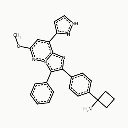 COc1cc(-c2cc[nH]n2)c2nc(-c3ccc(C4(N)CCC4)cc3)c(-c3ccccc3)n2n1